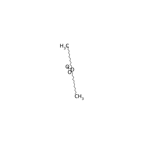 CCCCCCCCCCCCCC(=O)OC([C]=O)CCCCCCCCCCCC